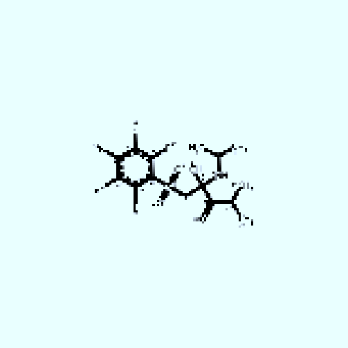 CC(C)NC(C)(CS(=O)(=O)c1c(F)c(F)c(F)c(F)c1F)C(=O)C(C)C